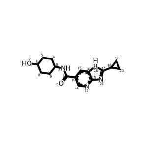 O=C(NC1CCC(O)CC1)c1cnc2c(c1)BC(C1CC1)=N2